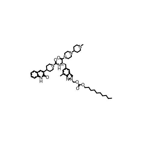 CCCCCCCCCCOC(=O)OCn1cc2cc(C[C@@H](NC(=O)N3CCC(c4cc5ccccc5[nH]c4=O)CC3)C(=O)N3CCN(C4CCN(C)CC4)CC3)cc(C)c2n1